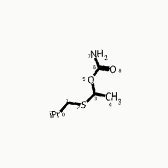 CC(C)CSC(C)OC(N)=O